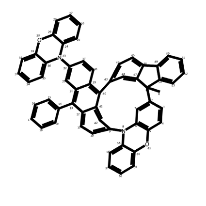 CC12c3ccc4c(c3)N(c3ccc5c(-c6ccccc6)c6cc(N7c8ccccc8Oc8ccccc87)ccc6c(c5c3)-c3ccc(c1c3)-c1ccccc12)c1ccccc1O4